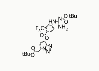 CC(C)(C)OC(=O)Cc1ccc(OC(=O)c2ccc(N/C(N)=N/C(=O)OC(C)(C)C)cc2C(F)(F)F)c2ncnn12